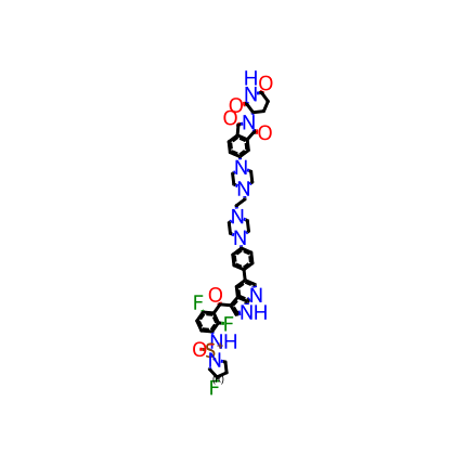 O=C1CCC(N2C(=O)c3ccc(N4CCN(CCN5CCN(c6ccc(-c7cnc8[nH]cc(C(=O)c9c(F)ccc(N[S+]([O-])N%10CC[C@@H](F)C%10)c9F)c8c7)cc6)CC5)CC4)cc3C2=O)C(=O)N1